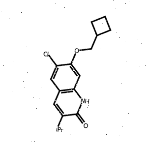 CC(C)c1cc2cc(Cl)c(OCC3CCC3)cc2[nH]c1=O